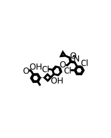 Cc1ccc(C(=O)O)cc1[C@H]1C[C@](O)(C2CC=C(OCc3c(-c4c(Cl)cccc4Cl)noc3C3CC3)C=C2Cl)C1